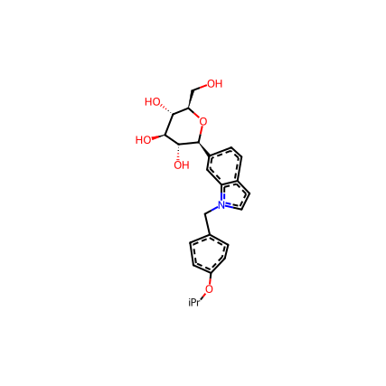 CC(C)Oc1ccc(Cn2ccc3ccc([C@@H]4O[C@H](CO)[C@@H](O)[C@H](O)[C@H]4O)cc32)cc1